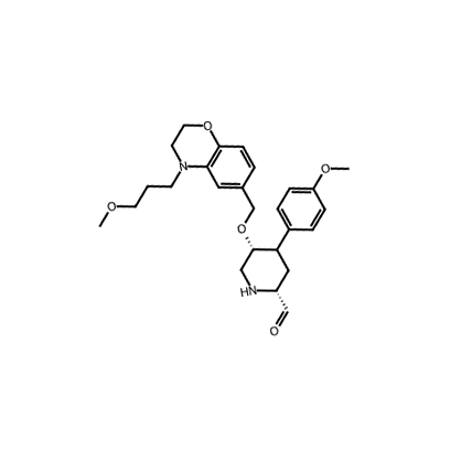 COCCCN1CCOc2ccc(CO[C@H]3CN[C@@H](C=O)CC3c3ccc(OC)cc3)cc21